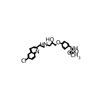 CS(=O)(=O)Nc1ccc(OCC(O)CNCCc2ccc3cc(Cl)ccc3n2)cc1